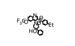 CCc1ccc(S(=O)(=O)c2cnc3ccc(OC(F)(F)F)cc3c2N2CCC(O)(c3ccccc3)CC2)cc1